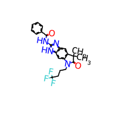 CC1(C)C(=O)N(CCCC(F)(F)F)c2cc3[nH]c(NC(=O)c4ccccc4)nc3cc21